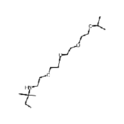 CCC(C)(C)NCCOCCOCCOCCOC(C)C